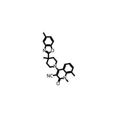 Cc1ccc2oc(C3(C)CCN(c4c(C#N)c(=O)n(C)c5c(C)cccc45)CC3)nc2c1